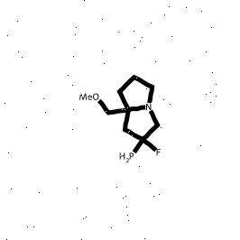 COCC12CCCN1CC(F)(P)C2